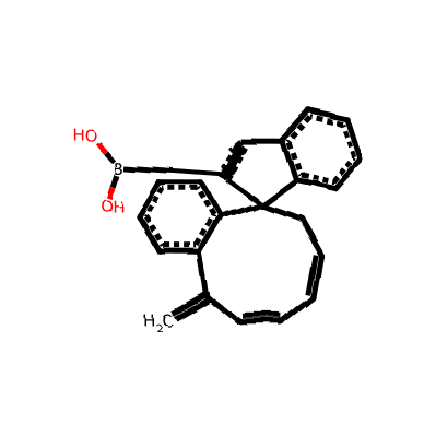 C=C1/C=C\C=C/CC2(c3ccccc31)c1ccccc1-c1ccc(B(O)O)cc12